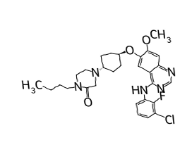 CCCCN1CCN([C@H]2CC[C@H](Oc3cc4c(Nc5cccc(Cl)c5F)ncnc4cc3OC)CC2)CC1=O